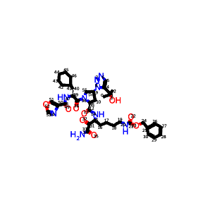 CC(C)(O)c1cnnn1[C@H]1C[C@@H](C(=O)NC(CCCCNC(=O)OCc2ccccc2)C(=O)C(N)=O)N(C(=O)[C@@H](CC2CCCCC2)NC(=O)c2cocn2)C1